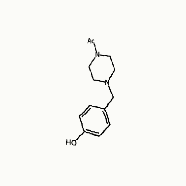 CC(=O)N1CCN(Cc2ccc(O)cc2)CC1